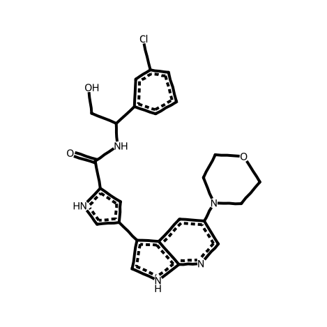 O=C(NC(CO)c1cccc(Cl)c1)c1cc(-c2c[nH]c3ncc(N4CCOCC4)cc23)c[nH]1